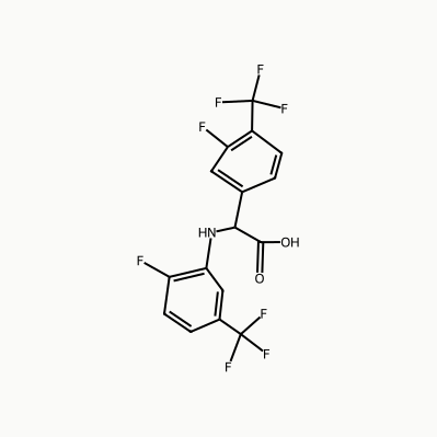 O=C(O)C(Nc1cc(C(F)(F)F)ccc1F)c1ccc(C(F)(F)F)c(F)c1